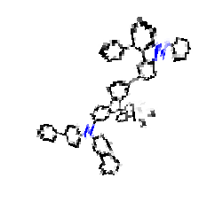 CC1(C)c2cc(-c3ccc4c(c3)c3c(-c5ccccc5)cccc3n4-c3ccccc3)ccc2-c2ccc(N(c3ccc(-c4ccccc4)cc3)c3ccc4ccccc4c3)cc21